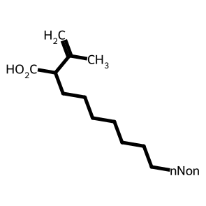 C=C(C)C(CCCCCCCCCCCCCCCC)C(=O)O